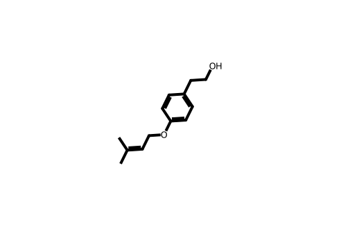 CC(C)=CCOc1ccc(CCO)cc1